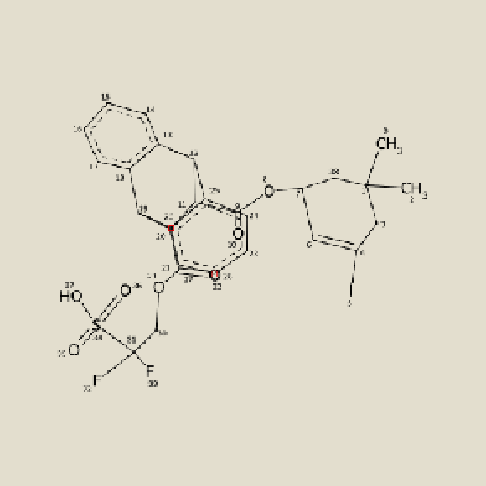 CC1(C)CC(I)=CC(OC(=O)C2C3c4ccccc4C(c4ccccc43)C2C(=O)OCC(F)(F)S(=O)(=O)O)C1